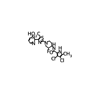 Cc1[nH]c(C(=O)NC2CCN(c3nc(-c4ncccn4)c(C(=O)O)s3)CC2F)c(Cl)c1Cl